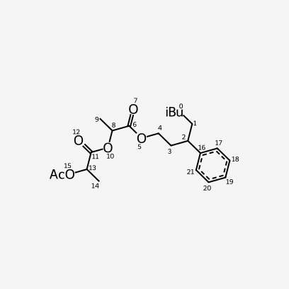 CCC(C)CC(CCOC(=O)C(C)OC(=O)C(C)OC(C)=O)c1ccccc1